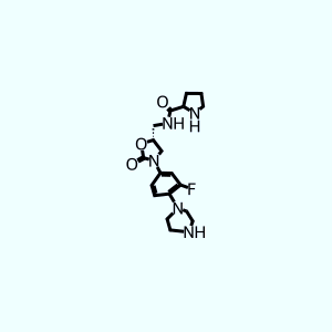 O=C(NC[C@@H]1CN(c2ccc(N3CCNCC3)c(F)c2)C(=O)O1)C1CCCN1